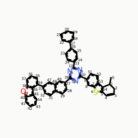 CC1CC=Cc2sc3cc(-c4nc(-c5ccc(-c6ccccc6)cc5)nc(-c5ccc6ccc(-c7cccc8oc9ccccc9c78)cc6c5)n4)ccc3c21